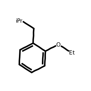 CCOc1ccccc1CC(C)C